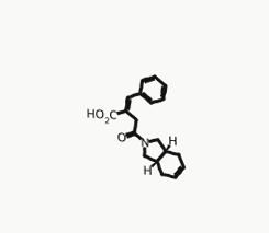 O=C(O)/C(=C/c1ccccc1)CC(=O)N1C[C@H]2CC=CC[C@H]2C1